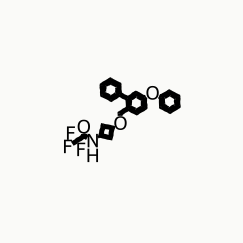 O=C(N[C@H]1C[C@@H](OCc2ccc(Oc3ccccc3)cc2-c2ccccc2)C1)C(F)(F)F